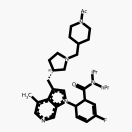 CCCN(C(=O)C1C=C(F)C=CC1n1cc(C[C@@H]2CCN(CC3CCN(C(C)=O)CC3)C2)c2c(C)cncc21)C(C)C